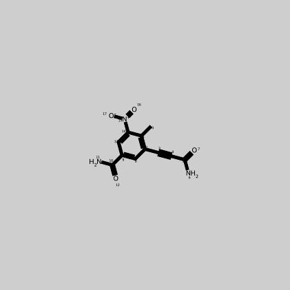 Cc1c(C#CC(N)=O)cc(C(N)=O)cc1[N+](=O)[O-]